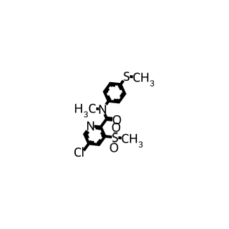 CSc1ccc(N(C)C(=O)c2ncc(Cl)cc2S(C)(=O)=O)cc1